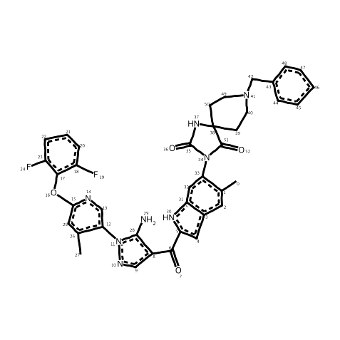 Cc1cc2cc(C(=O)c3cnn(-c4cnc(Oc5c(F)cccc5F)cc4C)c3N)[nH]c2cc1N1C(=O)NC2(CCN(Cc3ccccc3)CC2)C1=O